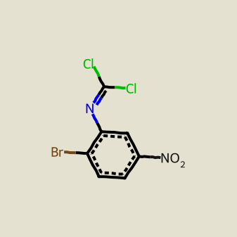 O=[N+]([O-])c1ccc(Br)c(N=C(Cl)Cl)c1